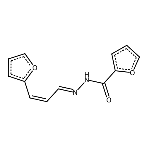 O=C(N/N=C/C=C\c1ccco1)c1ccco1